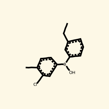 CCc1cccc(B(O)c2ccc(C)c(Cl)c2)c1